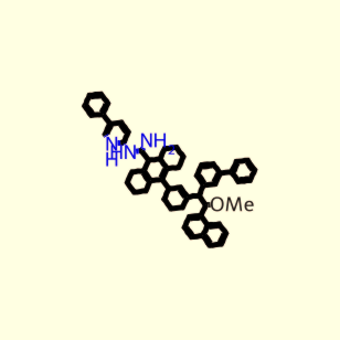 COC(c1cccc2ccccc12)C(C1=CC(C2=C3CCCCC3C(C(N)NC3C=CC(c4ccccc4)=CN3)C3=C2CCCC3)CCC1)c1cccc(-c2ccccc2)c1